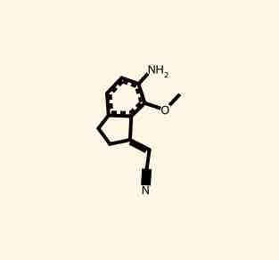 COc1c(N)ccc2c1C(=CC#N)CC2